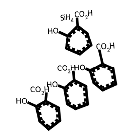 O=C(O)c1ccccc1O.O=C(O)c1ccccc1O.O=C(O)c1ccccc1O.O=C(O)c1ccccc1O.[SiH4]